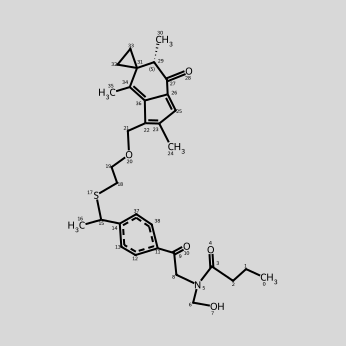 CCCC(=O)N(CO)CC(=O)c1ccc(C(C)SCCOCC2=C(C)C=C3C(=O)[C@@H](C)C4(CC4)C(C)=C32)cc1